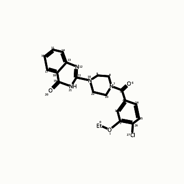 CCOc1cc(C(=O)N2CCN(c3nc4ccccc4c(=O)[nH]3)CC2)ccc1Cl